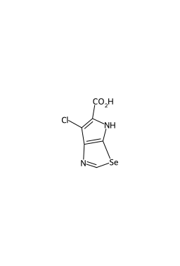 O=C(O)c1[nH]c2[se]cnc2c1Cl